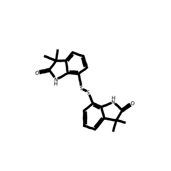 CC1(C)C(=O)Nc2c(SSc3cccc4c3NC(=O)C4(C)C)cccc21